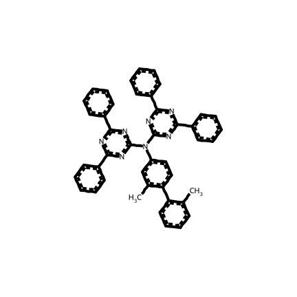 Cc1ccccc1-c1ccc(N(c2nc(-c3ccccc3)nc(-c3ccccc3)n2)c2nc(-c3ccccc3)nc(-c3ccccc3)n2)cc1C